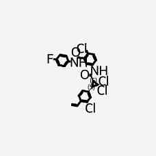 C=Cc1ccc([C@@H]2[C@@H](C(=O)Nc3ccc(Cl)c(C(=O)Nc4ccc(F)cc4)c3)C2(Cl)Cl)cc1Cl